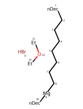 Br.CCCCCCCCCCCCCCCC[CH2][Mg][CH2]CCCCCCCCC.CCOCC